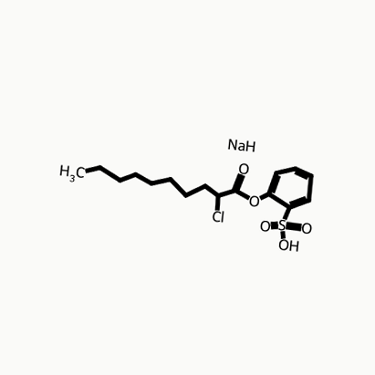 CCCCCCCCC(Cl)C(=O)Oc1ccccc1S(=O)(=O)O.[NaH]